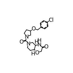 O=C1CO[C@H]2CCN(C(=O)N3CCC(OCc4ccc(Cl)cc4)C3)C[C@H]2N1